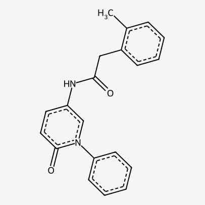 Cc1ccccc1CC(=O)Nc1ccc(=O)n(-c2ccccc2)c1